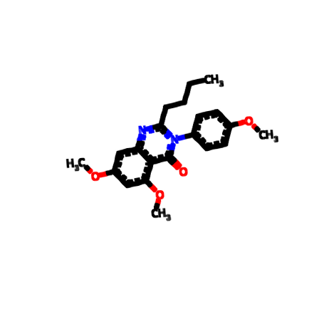 CCCCc1nc2cc(OC)cc(OC)c2c(=O)n1-c1ccc(OC)cc1